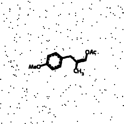 COc1ccc(C/C(C)=C\OC(C)=O)cc1